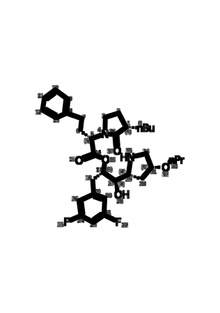 CCCC[C@H]1CCN([C@@H](CCc2ccccc2)C(=O)O[C@@H](Cc2cc(F)cc(F)c2)[C@H](O)[C@H]2C[C@@H](OCCC)CN2)C1=O